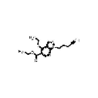 C#CCCCn1ncc2c(OCC)c(C(=O)OCC)cnc21